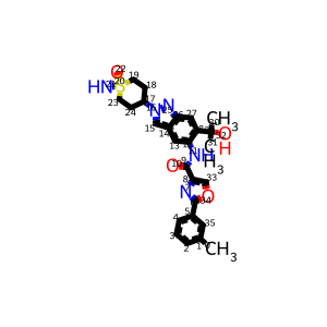 Cc1cccc(-c2nc(C(=O)Nc3cc4cn(C5CCS(=N)(=O)CC5)nc4cc3C(C)(C)O)co2)c1